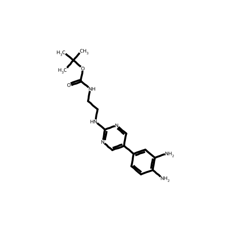 CC(C)(C)OC(=O)NCCNc1ncc(-c2ccc(N)c(N)c2)cn1